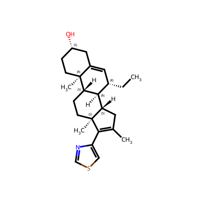 CC[C@H]1C=C2C[C@@H](O)CC[C@]2(C)[C@H]2CC[C@]3(C)C(c4cscn4)=C(C)C[C@H]3[C@H]12